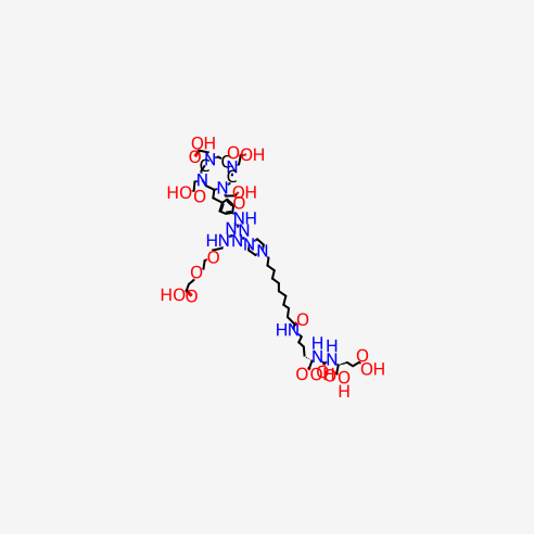 O=C(O)CCOCCOCCNc1nc(Nc2ccc(CC3CN(CC(=O)O)CCN(CC(=O)O)CCN(CC(=O)O)CCN3CC(=O)O)cc2)nc(N2CCN(CCCCCCCCCCC(=O)NCCCC[C@H](NC(=O)N[C@@H](CCC(=O)O)C(=O)O)C(=O)O)CC2)n1